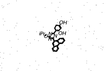 CC(C)Oc1nc(C2=C(O)C=C(O)CC2)nc(-c2cc3ccccc3c3ccccc23)n1